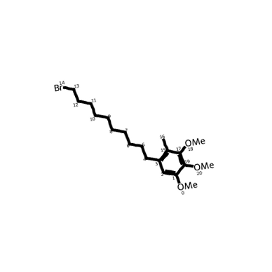 COc1cc(CCCCCCCCCCBr)c(C)c(OC)c1OC